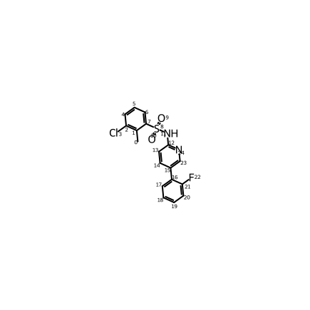 Cc1c(Cl)cccc1S(=O)(=O)Nc1ccc(-c2ccccc2F)cn1